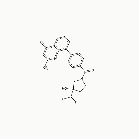 O=C(c1ccc(-c2cccn3c(=O)cc(C(F)(F)F)nc23)cc1)N1CCC(O)(C(F)F)C1